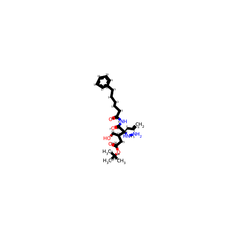 C=CC[C@](NN)(C(=O)NC(=O)CCCCCc1ccccc1)C(CO)CC(=O)OC(C)(C)C